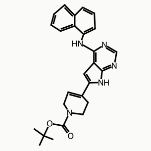 CC(C)(C)OC(=O)N1CC=C(c2cc3c(Nc4cccc5ccccc45)ncnc3[nH]2)CC1